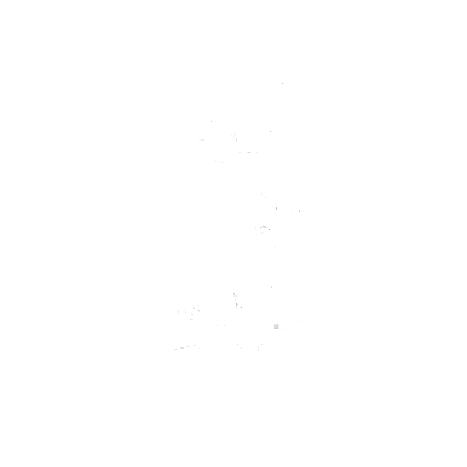 COC(=O)C(CCCNC(=O)OCC1c2ccccc2-c2ccccc21)NC(=O)C(N)C(C)C